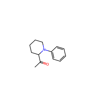 CC(=O)C1CCCCN1c1ccccc1